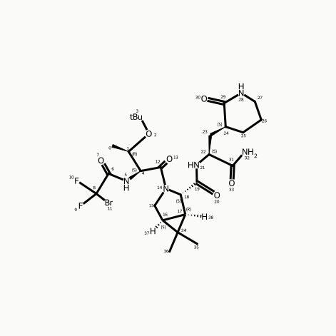 C[C@@H](OC(C)(C)C)[C@H](NC(=O)C(F)(F)Br)C(=O)N1C[C@H]2[C@@H]([C@H]1C(=O)N[C@@H](C[C@@H]1CCCNC1=O)C(N)=O)C2(C)C